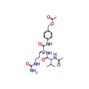 CC(=O)NC(C(=O)N[C@@H](CCCNC(N)=O)C(=O)Nc1ccc(COC(C)=O)cc1)C(C)C